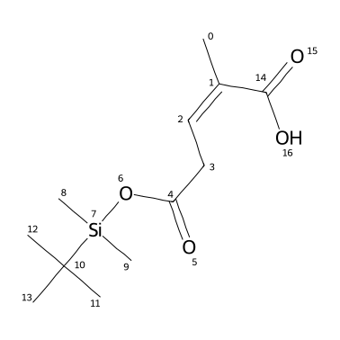 CC(=CCC(=O)O[Si](C)(C)C(C)(C)C)C(=O)O